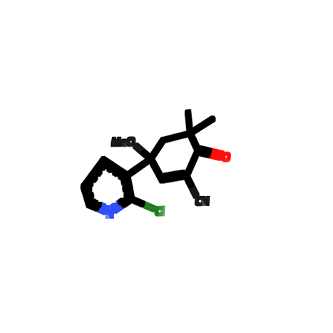 COC1(c2cccnc2Cl)C=C(C#N)C(=O)C(C)(C)C1